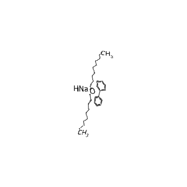 CCCCCCCCCCOCCCCCCCCCC.[NaH].c1ccc(-c2ccccc2)cc1